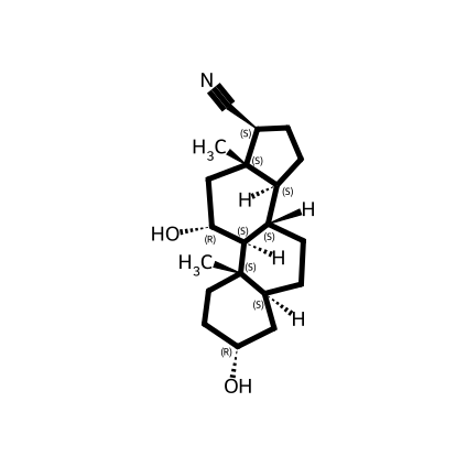 C[C@]12CC[C@@H](O)C[C@@H]1CC[C@@H]1[C@@H]2[C@H](O)C[C@]2(C)[C@@H](C#N)CC[C@@H]12